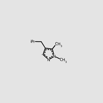 Cc1c(CC(C)C)[c]nn1C